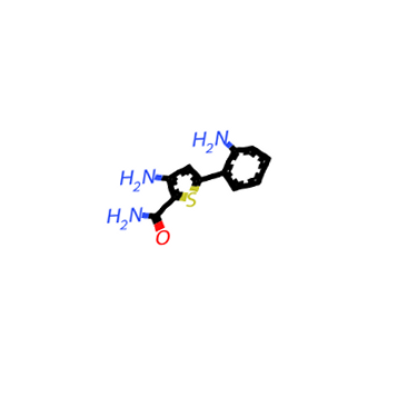 NC(=O)c1sc(-c2ccccc2N)cc1N